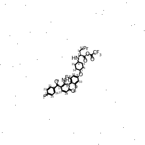 CC(C)C[C@H](NC1CCC(Oc2cc(F)c(-n3c(N)c(C(=O)c4ccc(F)cc4)ccc3=O)c(F)c2)CC1)C(=O)OC(=O)C(F)(F)F